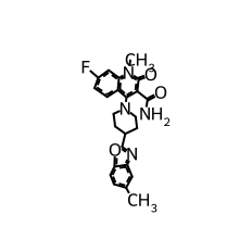 Cc1ccc2oc(C3CCN(c4c(C(N)=O)c(=O)n(C)c5cc(F)ccc45)CC3)nc2c1